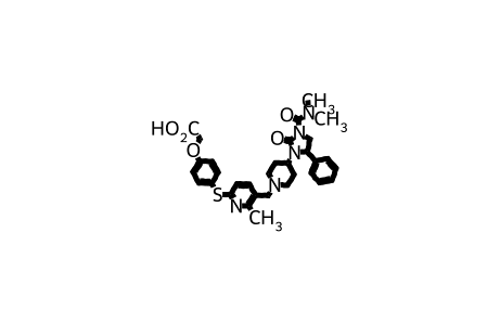 Cc1nc(Sc2ccc(OCC(=O)O)cc2)ccc1CN1CCC(N2C(=O)N(C(=O)N(C)C)CC2c2ccccc2)CC1